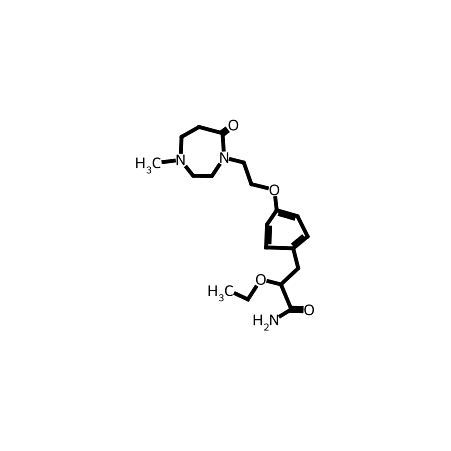 CCOC(Cc1ccc(OCCN2CCN(C)CCC2=O)cc1)C(N)=O